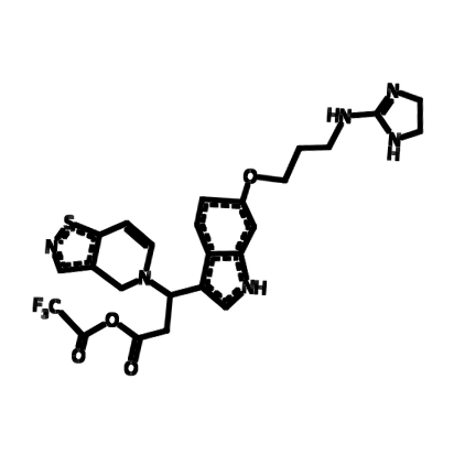 O=C(CC(c1c[nH]c2cc(OCCCNC3=NCCN3)ccc12)N1C=Cc2sncc2C1)OC(=O)C(F)(F)F